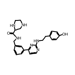 O=C(NCc1cccc(-c2ccnc(NCCc3ccc(O)cc3)n2)c1)C1CNCCN1